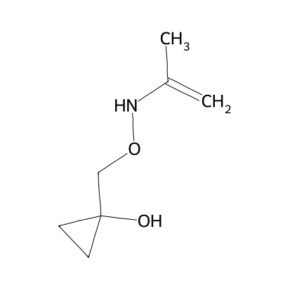 C=C(C)NOCC1(O)CC1